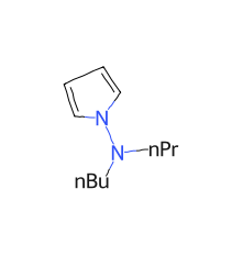 CCCCN(CCC)n1cccc1